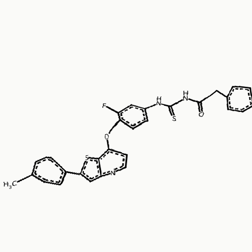 Cc1ccc(-c2cc3nccc(Oc4ccc(NC(=S)NC(=O)Cc5ccccc5)cc4F)c3s2)cc1